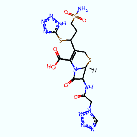 NS(=O)(=O)CCC(Sc1nnn[nH]1)C1=C(C(=O)O)N2C(=O)C(NC(=O)Cn3cnnn3)[C@@H]2SC1